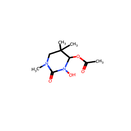 CC(=O)OC1N(O)C(=O)N(C)CC1(C)C